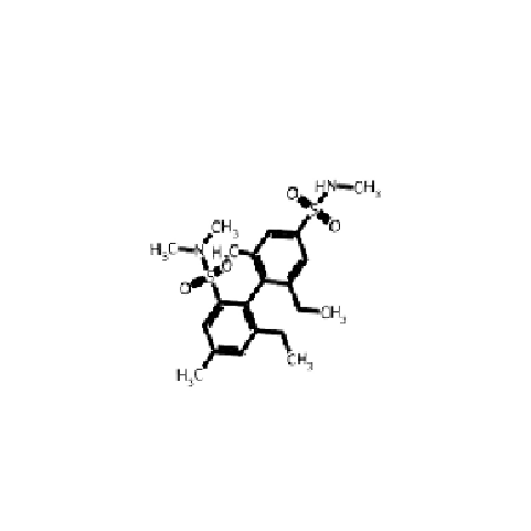 CCc1[c]c(C)cc(S(=O)(=O)N(C)C)c1-c1c(C)cc(S(=O)(=O)NC)cc1CC